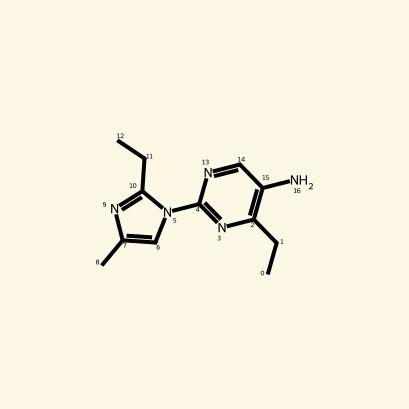 CCc1nc(-n2cc(C)nc2CC)ncc1N